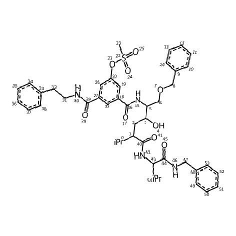 CC(C)C(CC(O)C(COCc1ccccc1)NC(=O)c1cc(OS(C)(=O)=O)cc(C(=O)NCCc2ccccc2)c1)C(=O)NC(C(=O)NCc1ccccc1)C(C)C